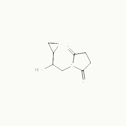 CC(CN1C(=O)CCC1=O)C1CO1